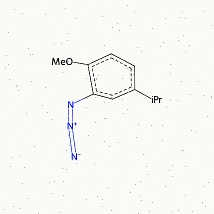 COc1ccc(C(C)C)cc1N=[N+]=[N-]